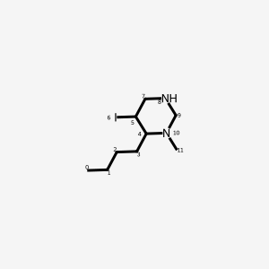 CCCCC1C(I)CNCN1C